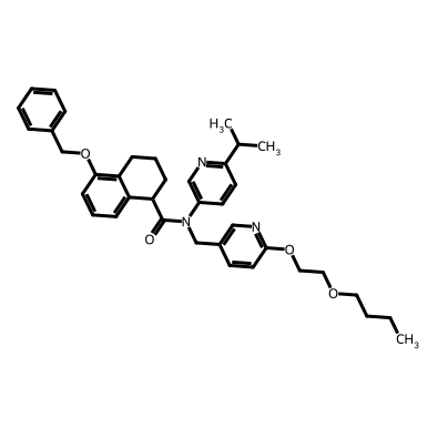 CCCCOCCOc1ccc(CN(C(=O)C2CCCc3c(OCc4ccccc4)cccc32)c2ccc(C(C)C)nc2)cn1